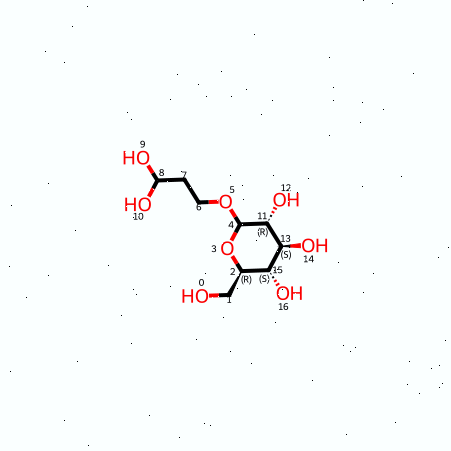 OC[C@H]1OC(OCCC(O)O)[C@H](O)[C@@H](O)[C@@H]1O